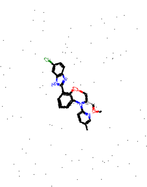 COC[C@H]1COc2c(-c3nc4ccc(Cl)cc4[nH]3)cccc2N1c1ccc(C)cn1